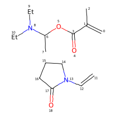 C=C(C)C(=O)OC(C)N(CC)CC.C=CN1CCCC1=O